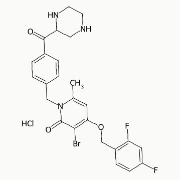 Cc1cc(OCc2ccc(F)cc2F)c(Br)c(=O)n1Cc1ccc(C(=O)C2CNCCN2)cc1.Cl